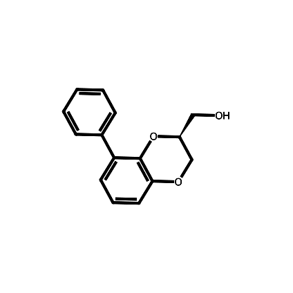 OC[C@H]1COc2cccc(-c3ccccc3)c2O1